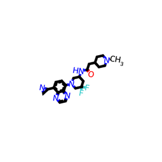 CN1CCC(CC(=O)NC2CN(c3ccc(C4C=N4)c4nccnc34)CC(F)(F)C2)CC1